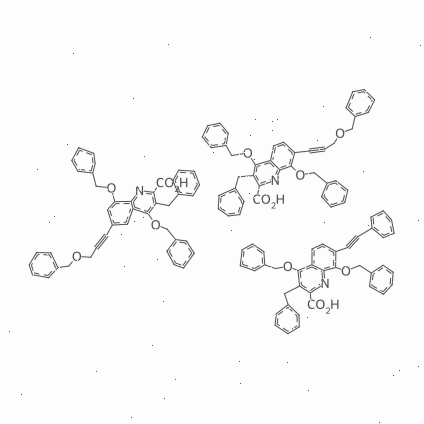 O=C(O)c1nc2c(OCc3ccccc3)c(C#CCOCc3ccccc3)ccc2c(OCc2ccccc2)c1Cc1ccccc1.O=C(O)c1nc2c(OCc3ccccc3)c(C#Cc3ccccc3)ccc2c(OCc2ccccc2)c1Cc1ccccc1.O=C(O)c1nc2c(OCc3ccccc3)cc(C#CCOCc3ccccc3)cc2c(OCc2ccccc2)c1Cc1ccccc1